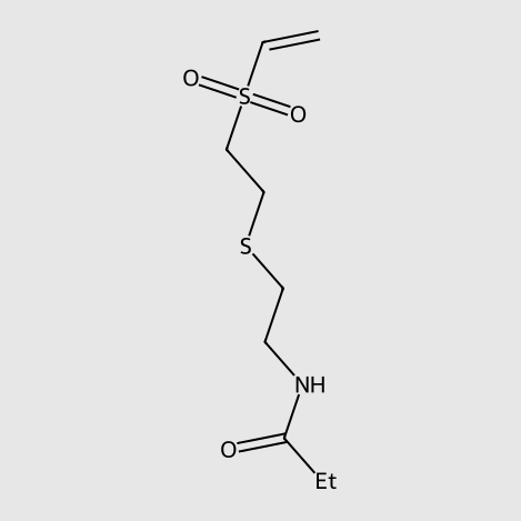 C=CS(=O)(=O)CCSCCNC(=O)CC